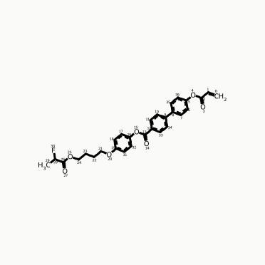 C=CC(=O)Oc1ccc(-c2ccc(C(=O)Oc3ccc(OCCCCOC(=O)C(C)F)cc3)cc2)cc1